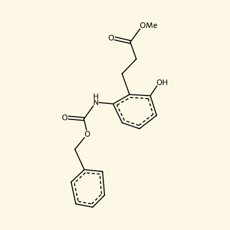 COC(=O)CCc1c(O)cccc1NC(=O)OCc1ccccc1